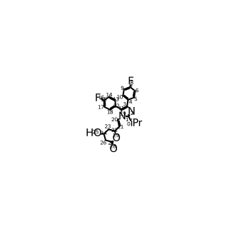 CC(C)c1nc(-c2ccc(F)cc2)c(-c2ccc(F)cc2)n1C=CC1CC(O)CC(=O)O1